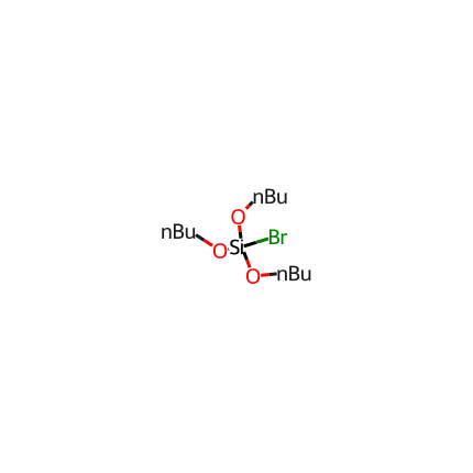 CCCCO[Si](Br)(OCCCC)OCCCC